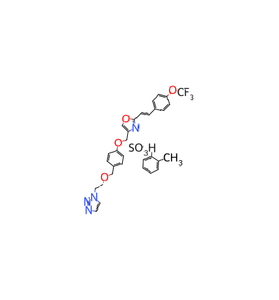 Cc1ccccc1S(=O)(=O)O.FC(F)(F)Oc1ccc(C=Cc2nc(COc3ccc(COCCn4ccnn4)cc3)co2)cc1